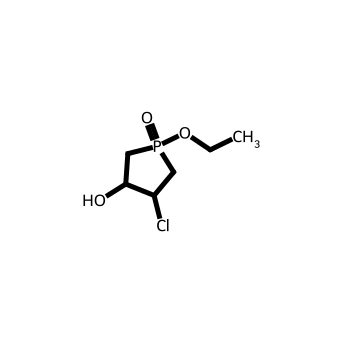 CCOP1(=O)CC(O)C(Cl)C1